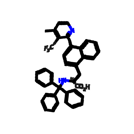 Cc1ccnc(-c2ccc(C[C@H](NC(c3ccccc3)(c3ccccc3)c3ccccc3)C(=O)O)c3ccccc23)c1C(F)(F)F